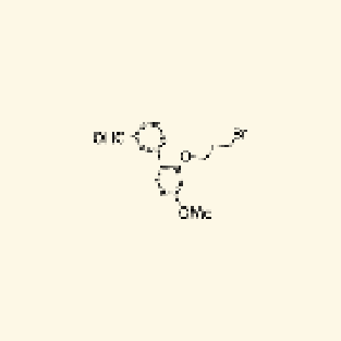 COc1ccc(-c2cccc(C=O)c2)c(OCCCBr)c1